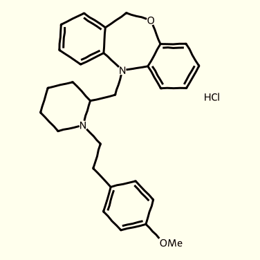 COc1ccc(CCN2CCCCC2CN2c3ccccc3COc3ccccc32)cc1.Cl